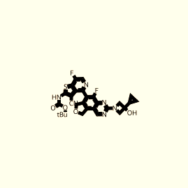 CC(C)(C)OC(=O)Nc1sc2c(F)cnc(-c3c4c(c5cnc(N6CC(O)(C7CC7)C6)nc5c3F)COC4)c2c1C#N